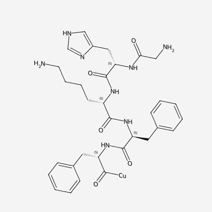 NCCCC[C@H](NC(=O)[C@H](Cc1c[nH]cn1)NC(=O)CN)C(=O)N[C@@H](Cc1ccccc1)C(=O)N[C@@H](Cc1ccccc1)[C](=O)[Cu]